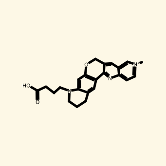 C[n+]1ccc2nc3c(cc2c1)COc1cc2c(cc1-3)CCCN2CCCC(=O)O